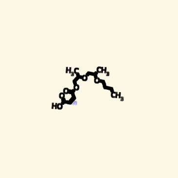 CCCCOC(C)COC(C)COC(=O)/C=C\C(=O)O